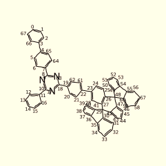 c1ccc(-c2ccc(-c3nc(-c4ccccc4)nc(-c4ccc(-c5ccc6c(c5)C5(c7ccccc7-c7ccccc75)c5ccccc5C65c6ccccc6-c6ccccc65)cc4)n3)cc2)cc1